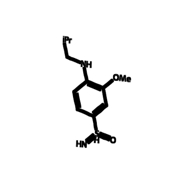 COc1cc([SH](=N)=O)ccc1NCC(C)C